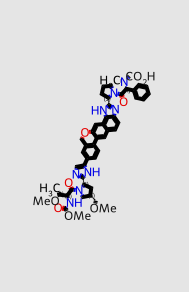 COC[C@H]1C[C@@H](c2ncc(-c3ccc4c(c3)COc3cc5c(ccc6nc([C@@H]7CCCN7C(=O)[C@@H](c7ccccc7)N(C)C(=O)O)[nH]c65)cc3-4)[nH]2)N(C(=O)[C@@H](NC(=O)OC)[C@@H](C)OC)C1